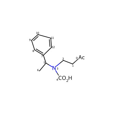 CC(=O)CCN(C(=O)O)C(C)c1ccccc1